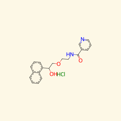 Cl.O=C(NCCOCC(O)c1cccc2ccccc12)c1cccnc1